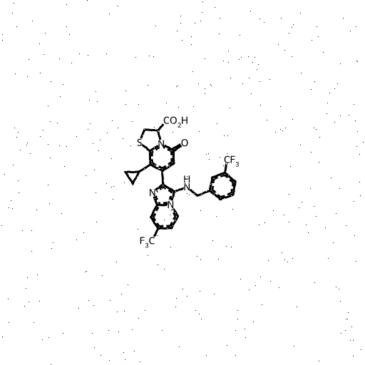 O=C(O)C1CSc2c(C3CC3)c(-c3nc4cc(C(F)(F)F)ccn4c3NCc3cccc(C(F)(F)F)c3)cc(=O)n21